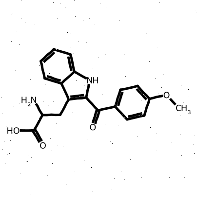 COc1ccc(C(=O)c2[nH]c3ccccc3c2CC(N)C(=O)O)cc1